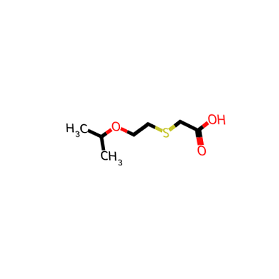 CC(C)OCCSCC(=O)O